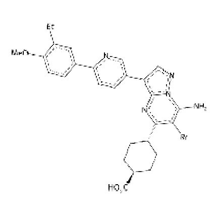 CCc1cc(-c2ccc(-c3cnn4c(N)c(Br)c([C@H]5CC[C@H](C(=O)O)CC5)nc34)cn2)ccc1OC